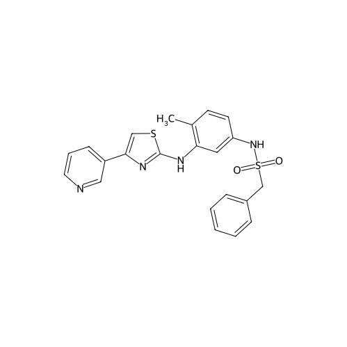 Cc1ccc(NS(=O)(=O)Cc2ccccc2)cc1Nc1nc(-c2cccnc2)cs1